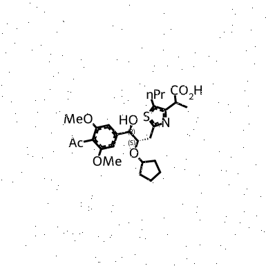 CCCc1sc(C[C@H](OC2CCCC2)[C@H](O)c2cc(OC)c(C(C)=O)c(OC)c2)nc1C(C)C(=O)O